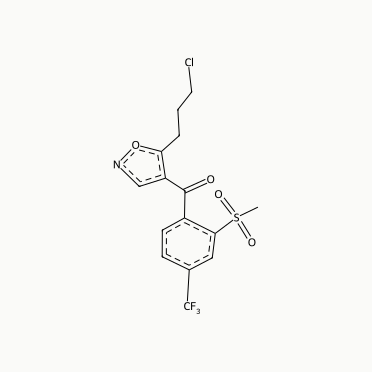 CS(=O)(=O)c1cc(C(F)(F)F)ccc1C(=O)c1cnoc1CCCCl